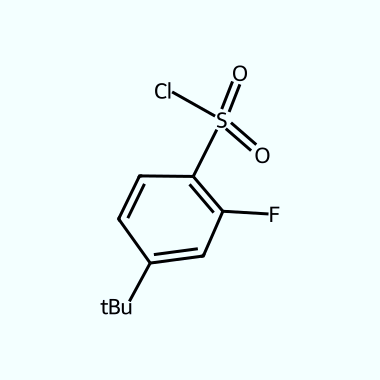 CC(C)(C)c1ccc(S(=O)(=O)Cl)c(F)c1